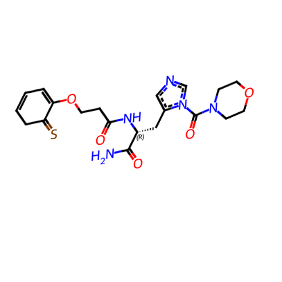 NC(=O)[C@@H](Cc1cncn1C(=O)N1CCOCC1)NC(=O)CCOC1=CC=CCC1=S